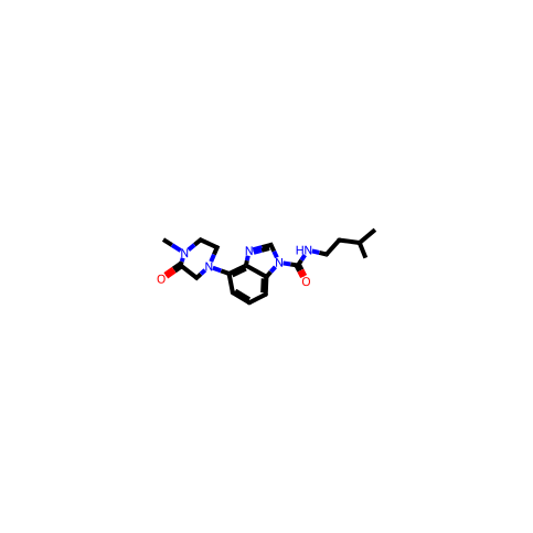 CC(C)CCNC(=O)n1cnc2c(N3CCN(C)C(=O)C3)cccc21